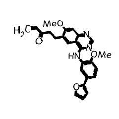 C=CC(=O)CCc1cc2c(Nc3cc(-c4ccco4)ccc3OC)ncnc2cc1OC